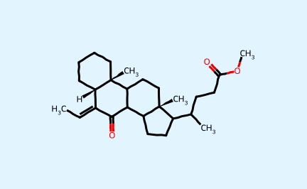 C/C=C1/C(=O)C2C3CCC(C(C)CCC(=O)OC)[C@@]3(C)CCC2[C@@]2(C)CCCC[C@@H]12